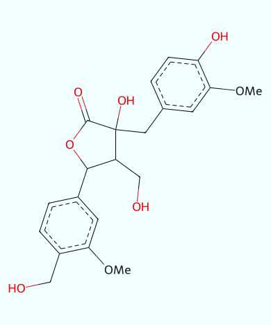 COc1cc(CC2(O)C(=O)OC(c3ccc(CO)c(OC)c3)C2CO)ccc1O